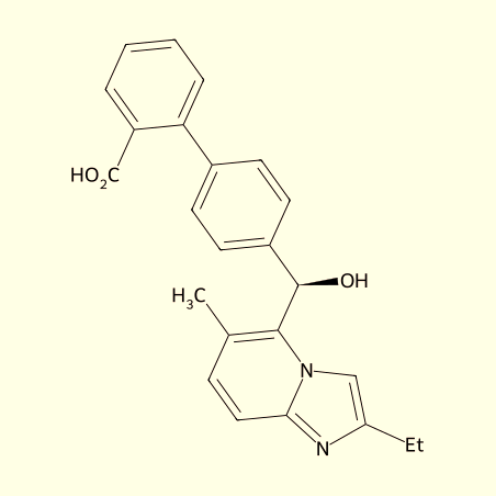 CCc1cn2c([C@H](O)c3ccc(-c4ccccc4C(=O)O)cc3)c(C)ccc2n1